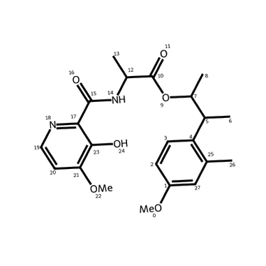 COc1ccc(C(C)C(C)OC(=O)C(C)NC(=O)c2nccc(OC)c2O)c(C)c1